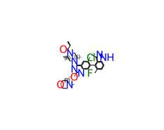 C=CC(=O)N1C[C@H](C)N(c2nc(OC[C@H]3COCCN3C)nc3c(F)c(-c4c(C)ccc5[nH]nc(C)c45)c(Cl)cc23)C[C@H]1C